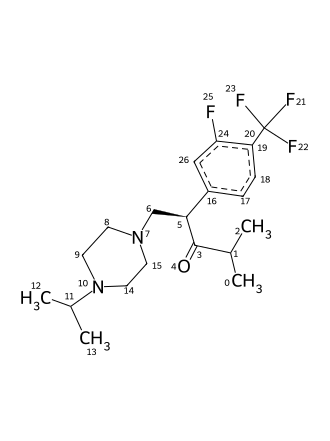 CC(C)C(=O)[C@@H](CN1CCN(C(C)C)CC1)c1ccc(C(F)(F)F)c(F)c1